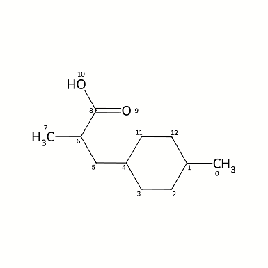 CC1CCC(CC(C)C(=O)O)CC1